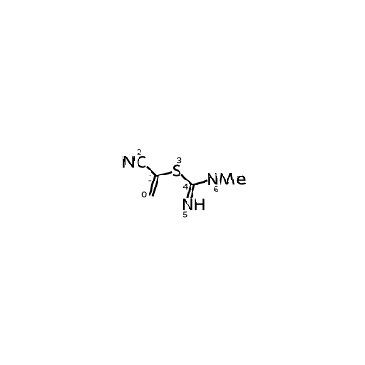 C=C(C#N)SC(=N)NC